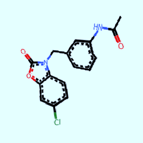 CC(=O)Nc1cccc(Cn2c(=O)oc3cc(Cl)ccc32)c1